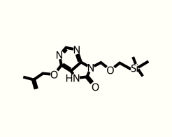 C=C(C)COc1ncnc2c1[nH]c(=O)n2COCC[Si](C)(C)C